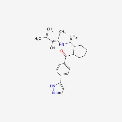 C=C(C)/C(C#N)=C(\C)NC(=C)C1CCCCC1C(=O)c1ccc(-c2ccn[nH]2)cc1